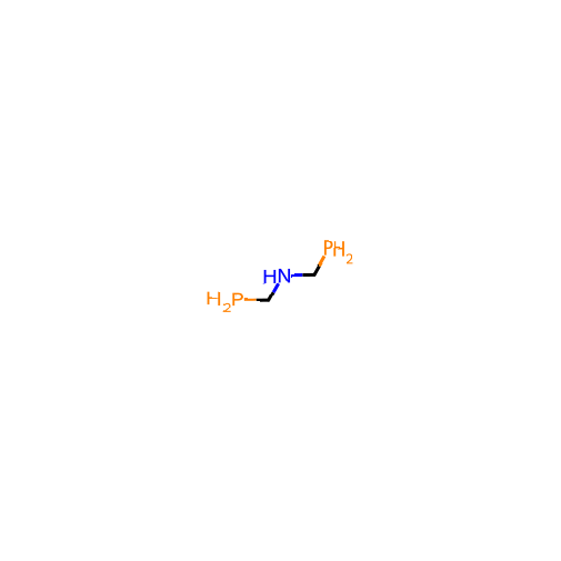 PCNCP